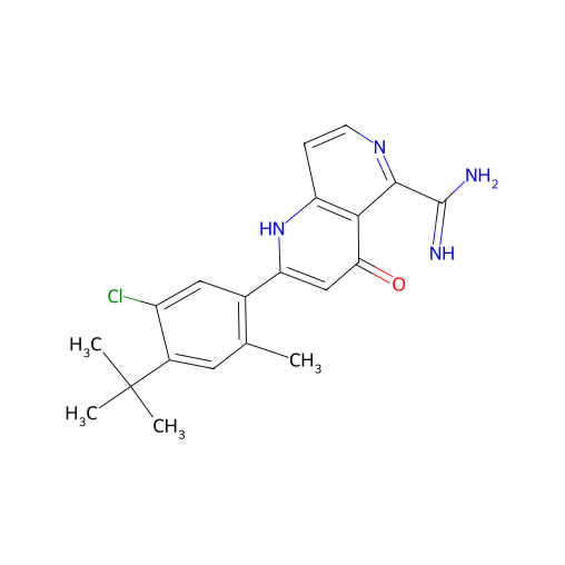 Cc1cc(C(C)(C)C)c(Cl)cc1-c1cc(=O)c2c(C(=N)N)nccc2[nH]1